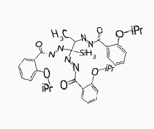 CC(C)Oc1ccccc1C(=O)N=NC(C)C([SiH3])(N=NC(=O)c1ccccc1OC(C)C)N=NC(=O)c1ccccc1OC(C)C